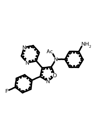 CC(=O)N(c1cccc(N)c1)c1onc(-c2ccc(F)cc2)c1-c1ccncn1